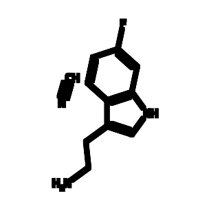 C#N.NCCc1c[nH]c2cc(F)ccc12